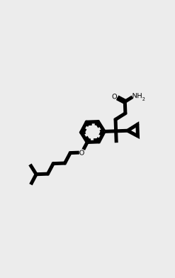 CC(C)CCCCOc1cccc(C(C)(CCC(N)=O)C2CC2)c1